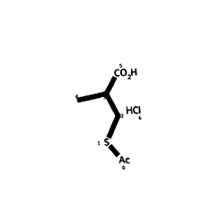 CC(=O)SCC(C)C(=O)O.Cl